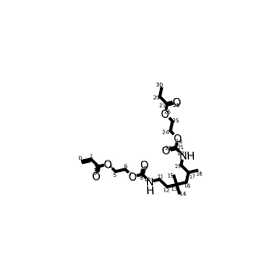 C=CC(=O)OCCOC(=O)NCCC(C)(C)CC(C)CNC(=O)OCCOC(=O)CC